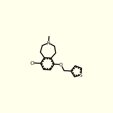 CN1CCc2c(Cl)ccc(OCc3ccsc3)c2CC1